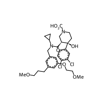 COCCCc1cc(CN(C(=O)[C@H]2CN(C(=O)O)CC[C@]2(O)c2ccc(Cl)c(Cl)c2)C2CC2)cc(OCCOC)c1